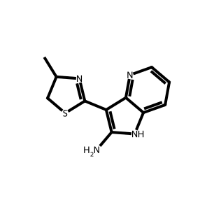 CC1CSC(c2c(N)[nH]c3cccnc23)=N1